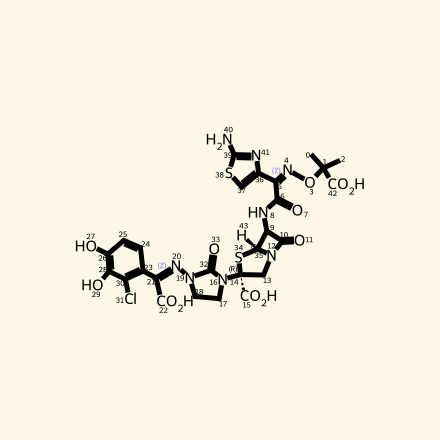 CC(C)(O/N=C(\C(=O)NC1C(=O)N2C[C@@](C(=O)O)(N3CCN(/N=C(\C(=O)O)c4ccc(O)c(O)c4Cl)C3=O)S[C@H]12)c1csc(N)n1)C(=O)O